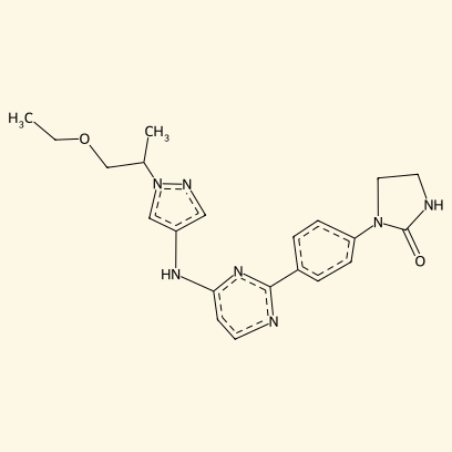 CCOCC(C)n1cc(Nc2ccnc(-c3ccc(N4CCNC4=O)cc3)n2)cn1